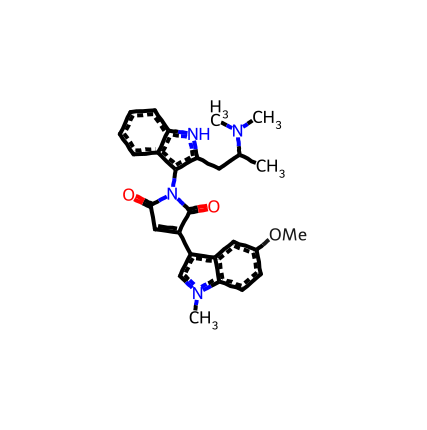 COc1ccc2c(c1)c(C1=CC(=O)N(c3c(CC(C)N(C)C)[nH]c4ccccc34)C1=O)cn2C